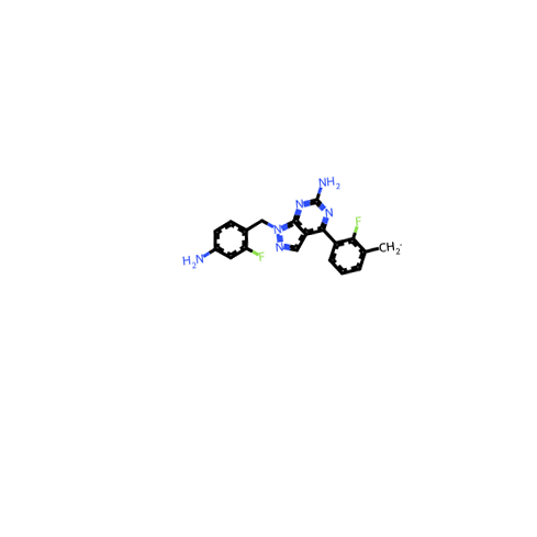 [CH2]c1cccc(-c2nc(N)nc3c2cnn3Cc2ccc(N)cc2F)c1F